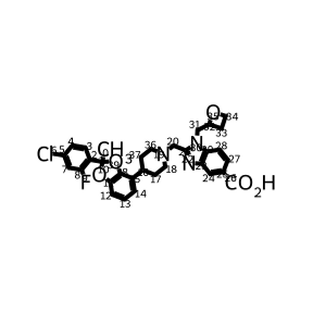 CC1(c2ccc(Cl)cc2F)Oc2cccc(C3CCN(Cc4nc5cc(C(=O)O)ccc5n4CC4CCO4)CC3)c2O1